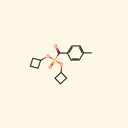 Cc1ccc(C(=O)P(=O)(OC2CCC2)OC2CCC2)cc1